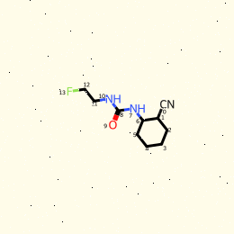 N#CC1CCCCC1NC(=O)NCCF